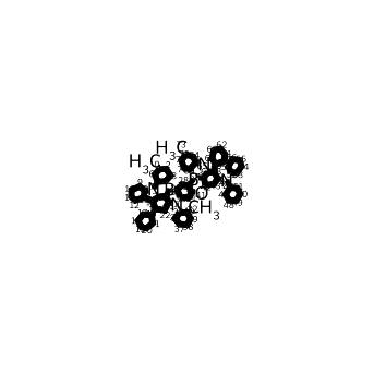 Cc1ccc2c(c1)-n1c3ccccc3c3c(-c4ccccc4)cc4c(c31)B2c1cc2c(c(C)c1N4c1ccccc1)Oc1cc(N(c3ccccc3)c3ccccc3)c3c4ccccc4n4c3c1B2c1ccc(C)cc1-4